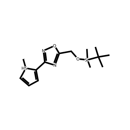 [CH2][SH]1C=CC=C1c1noc(CO[Si](C)(C)C(C)(C)C)n1